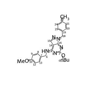 CCCCOc1nc(NCc2ccc(OC)cc2)c2cnn(Cc3ccc(C)cc3)c2n1